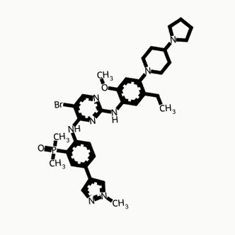 CCc1cc(Nc2ncc(Br)c(Nc3ccc(-c4cnn(C)c4)cc3P(C)(C)=O)n2)c(OC)cc1N1CCC(N2CCCC2)CC1